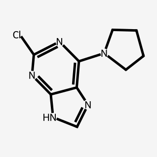 Clc1nc(N2CCCC2)c2nc[nH]c2n1